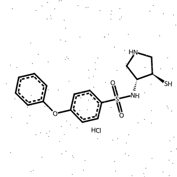 Cl.O=S(=O)(N[C@@H]1CNC[C@H]1S)c1ccc(Oc2ccccc2)cc1